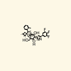 Cc1ccccc1[C@@H](S[C@@H]1O[C@H](CO)[C@H](O)[C@H](n2cc(-c3cc(F)c(F)c(F)c3)nn2)[C@H]1O)C1(O)C[C@@H](C)[C@H]1C